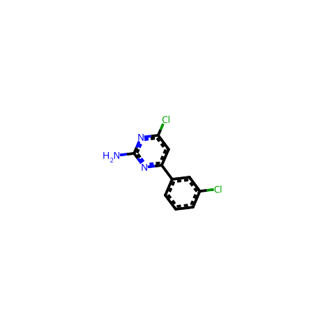 Nc1nc(Cl)cc(-c2cccc(Cl)c2)n1